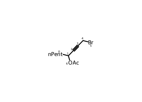 CCCCCC(C#CCBr)OC(C)=O